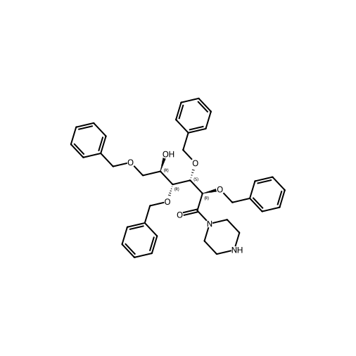 O=C([C@H](OCc1ccccc1)[C@@H](OCc1ccccc1)[C@H](OCc1ccccc1)[C@H](O)COCc1ccccc1)N1CCNCC1